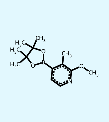 COc1nccc(B2OC(C)(C)C(C)(C)O2)c1C